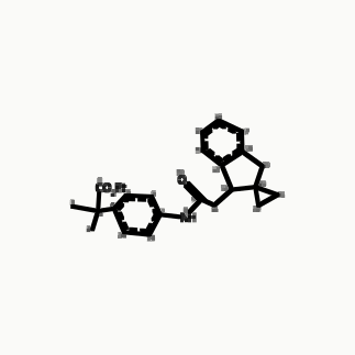 CCOC(=O)C(C)(C)c1ccc(NC(=O)CC2c3ccccc3CC23CC3)cc1